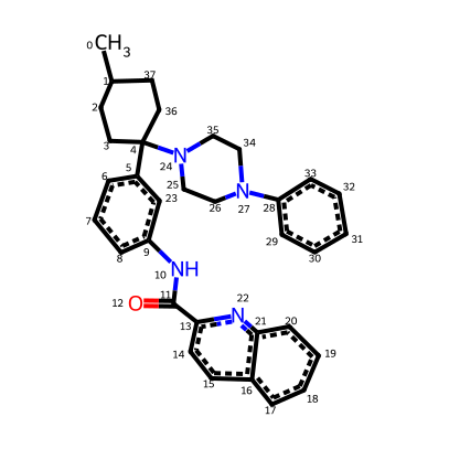 CC1CCC(c2cccc(NC(=O)c3ccc4ccccc4n3)c2)(N2CCN(c3ccccc3)CC2)CC1